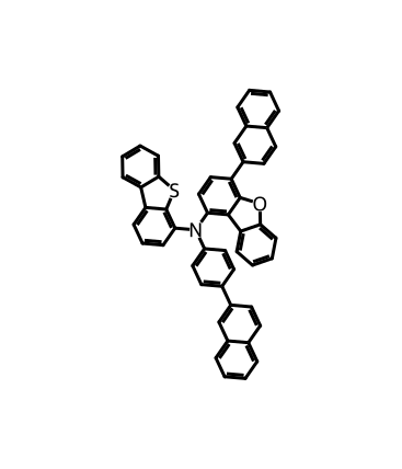 c1ccc2cc(-c3ccc(N(c4cccc5c4sc4ccccc45)c4ccc(-c5ccc6ccccc6c5)c5oc6ccccc6c45)cc3)ccc2c1